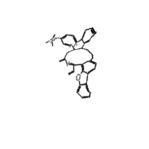 C=C/C1=N/C(=C)CC2C(CCc3ccc4c(oc5ccccc54)c31)c1ccccc1-c1ccc([Si](C)(C)C)c[n+]12